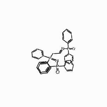 O=P(N=P(C/C=N/P(=O)(c1ccccc1)c1ccccc1)(c1ccccc1)c1ccccc1)(c1ccccc1)c1ccccc1